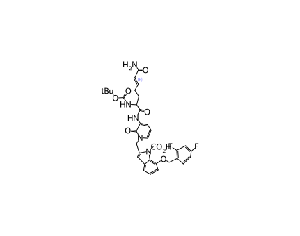 CC(C)(C)OC(=O)NC(CC/C=C/C(N)=O)C(=O)Nc1cccn(Cc2cc3cccc(OCc4ccc(F)cc4F)c3n2C(=O)O)c1=O